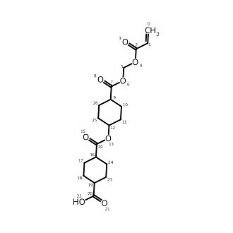 C=CC(=O)OCOC(=O)C1CCC(OC(=O)C2CCC(C(=O)O)CC2)CC1